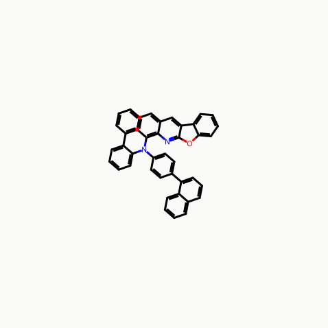 c1ccc(-c2ccccc2N(c2ccc(-c3cccc4ccccc34)cc2)c2cccc3cc4c(nc23)oc2ccccc24)cc1